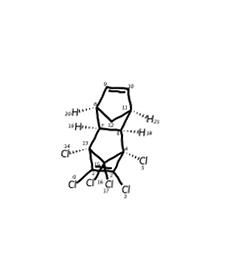 ClC1=C(Cl)[C@]2(Cl)[C@H]3[C@H]([C@H]4C=C[C@@H]3C4)[C@@]1(Cl)C2(Cl)Cl